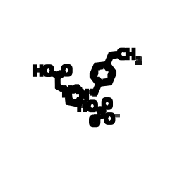 C=Cc1ccc(C[n+]2ccn(CC(=O)O)c2)cc1.O=S(=O)([O-])O